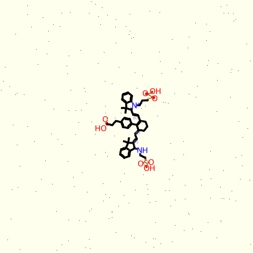 CC1(C)C(/C=C/C2=C(c3ccc(CCC(=O)O)cc3)C(=C/C=C3/C(NCCS(=O)(=O)O)c4ccccc4C3(C)C)/CCC2)=[N+](CCCS(=O)(=O)O)c2ccccc21